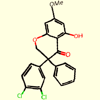 COc1cc(O)c2c(c1)OCC(c1ccccc1)(c1ccc(Cl)c(Cl)c1)C2=O